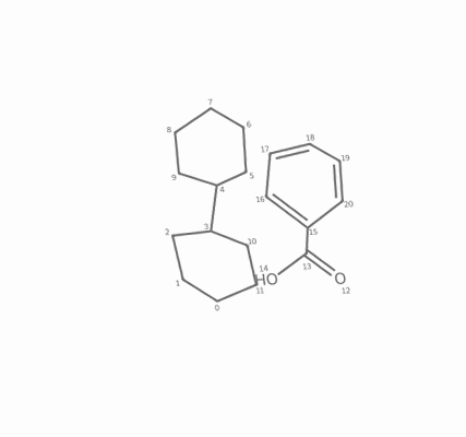 C1CCC(C2CCCCC2)CC1.O=C(O)c1ccccc1